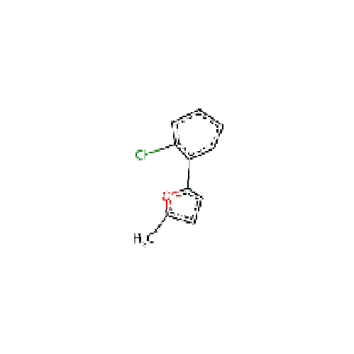 Cc1ccc(-c2ccccc2Cl)o1